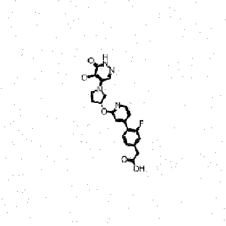 O=C(O)Cc1ccc(-c2ccnc(O[C@@H]3CCN(c4cn[nH]c(=O)c4Cl)C3)c2)c(F)c1